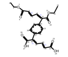 CCOC(=O)/C=C/C=C(/C(=O)OCC)c1ccc(/C(=C\C=C\C(=O)O)C(=O)O)cc1